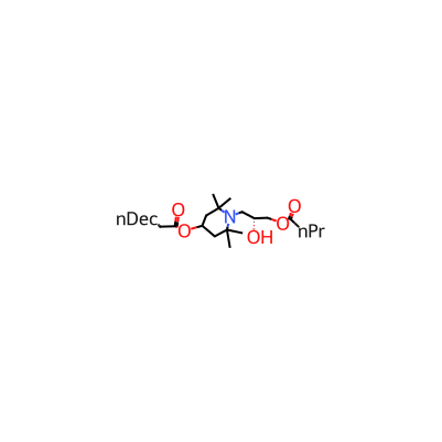 CCCCCCCCCCCC(=O)OC1CC(C)(C)N(C[C@@H](O)COC(=O)CCC)C(C)(C)C1